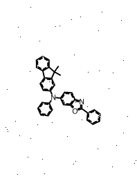 CC1(C)c2ccccc2-c2ccc(N(c3ccccc3)c3ccc4nc(-c5ccccc5)oc4c3)cc21